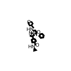 O=C(NC1CC1)c1ccc(-c2cnn3c(NCC4CCOCC4)cc(Oc4ccccc4)nc23)cc1